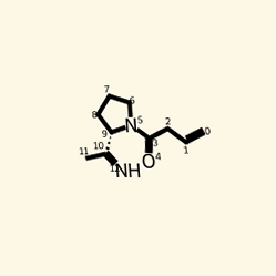 C=CCC(=O)N1CCC[C@H]1C(C)=N